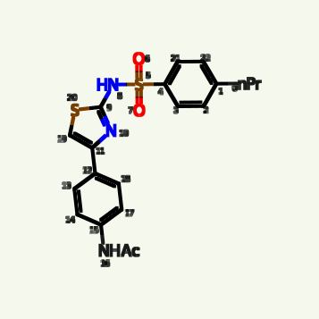 CCCc1ccc(S(=O)(=O)Nc2nc(-c3ccc(NC(C)=O)cc3)cs2)cc1